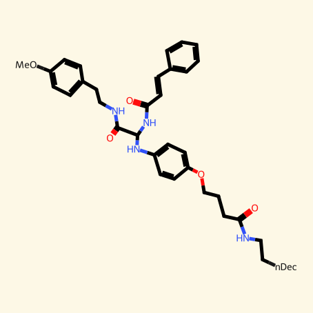 CCCCCCCCCCCCNC(=O)CCCOc1ccc(NC(NC(=O)C=Cc2ccccc2)C(=O)NCCc2ccc(OC)cc2)cc1